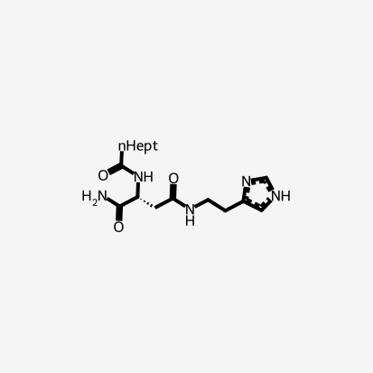 CCCCCCCC(=O)N[C@H](CC(=O)NCCc1c[nH]cn1)C(N)=O